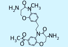 CN1C(=O)[C@@H](N)COc2cc(CCN3C(=O)[C@@H](N)COc4ccc(S(C)(=O)=O)cc43)ccc21